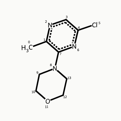 Cc1ncc(Cl)nc1N1CCOCC1